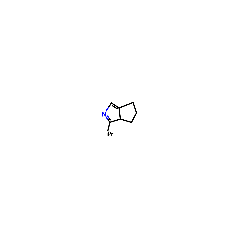 CC(C)C1=NC=C2CCCC21